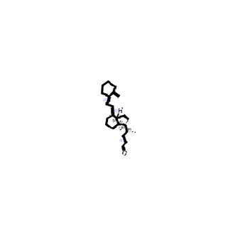 C=C1CCCC/C1=C/C=C1\CCC[C@]2(C)[C@@H]([C@H](C)/C=C/C=O)CC[C@@H]12